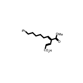 COC(=O)C(C=CC(=O)O)=CCCCCCC(C)C